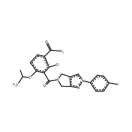 CC(Oc1ccc(C(N)=O)c(Cl)c1C(=O)N1Cc2cn(-c3ccc(F)cc3)nc2C1)C(F)(F)F